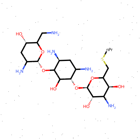 CCCSCC1O[C@H](O[C@H]2C(N)C[C@H](N)C(O[C@H]3OC(CN)[C@@H](O)CC3N)C2O)[C@@H](O)C(N)[C@@H]1O